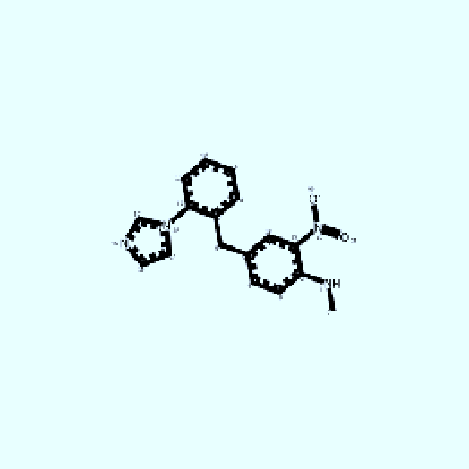 CNc1ccc(Cc2ccccc2-n2ccnc2)cc1[N+](=O)[O-]